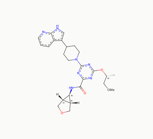 COC[C@@H](C)Oc1nc(C(=O)N[C@H]2[C@@H]3COC[C@@H]32)nc(N2CCC(c3c[nH]c4ncccc34)CC2)n1